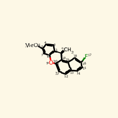 C=C1c2ccc(OC)cc2Oc2ccc3ccc(F)cc3c21